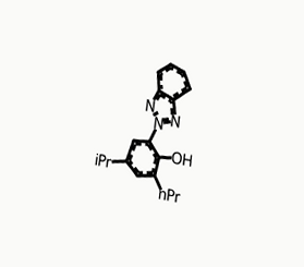 CCCc1cc(C(C)C)cc(-n2nc3ccccc3n2)c1O